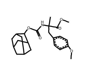 COC(=O)C(C)(Cc1ccc(OC)cc1)NC(=O)OC1C2CC3CC(C2)CC1C3